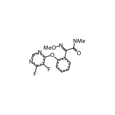 CNC(=O)/C(=N/OC)c1ccccc1Oc1ncnc(F)c1F